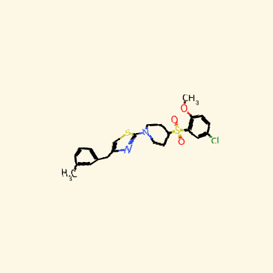 COc1ccc(Cl)cc1S(=O)(=O)C1CCN(c2nc(Cc3cccc(C)c3)cs2)CC1